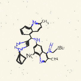 Cc1ccc2c(C(Nc3cc(C#N)c4ncc(C#N)c(NCC(C)(C)C)c4c3)c3cn(C45CC(C4)C5)nn3)cccc2n1